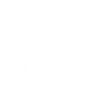 CCCOc1ccc(OCC)cc1[C](C)C